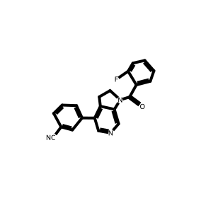 N#Cc1cccc(-c2cncc3c2CCN3C(=O)c2ccccc2F)c1